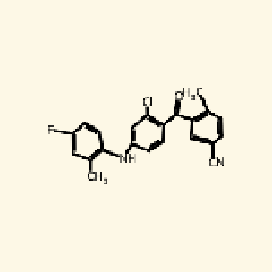 Cc1cc(F)ccc1Nc1ccc(C(=O)c2cc(C#N)ccc2C)c(Cl)c1